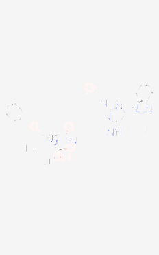 CC(C)(C)N(C(=O)O)[C@H](CCOCc1ccccc1)C(=O)N[C@H]1CC[C@H](Nc2cc(-n3c(C(F)F)nc4ccccc43)nc(N3CCOCC3)n2)CC1